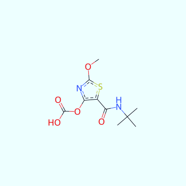 COc1nc(OC(=O)O)c(C(=O)NC(C)(C)C)s1